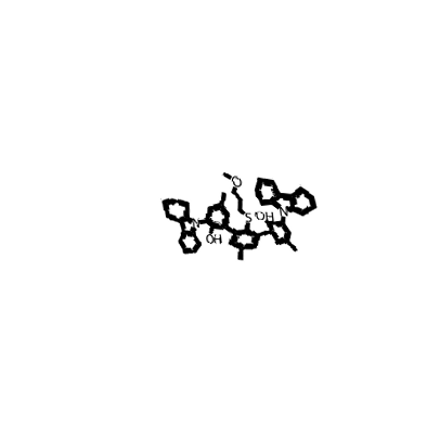 COCCCSc1c(-c2cc(C)cc(-n3c4ccccc4c4ccccc43)c2O)cc(C)cc1-c1cc(C)cc(-n2c3ccccc3c3ccccc32)c1O